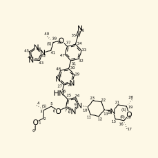 COC[C@H](C)COc1nn([C@H]2CC[C@H](N3C[C@@H](C)O[C@@H](C)C3)CC2)cc1Nc1ncc(-c2ccc(C#N)c(O[C@@H](C)Cn3cncn3)c2)cn1